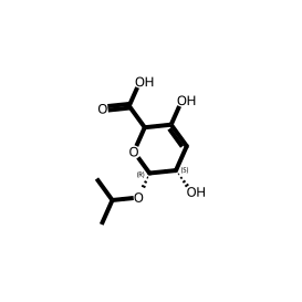 CC(C)O[C@@H]1OC(C(=O)O)C(O)=C[C@@H]1O